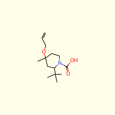 C=CCOC1(C)CCN(C(=O)O)C(C(C)(C)C)C1